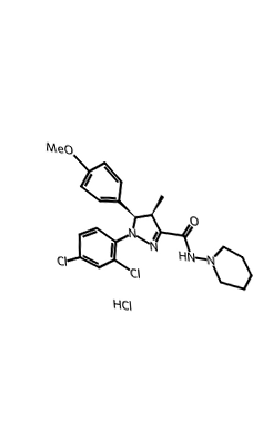 COc1ccc([C@H]2[C@@H](C)C(C(=O)NN3CCCCC3)=NN2c2ccc(Cl)cc2Cl)cc1.Cl